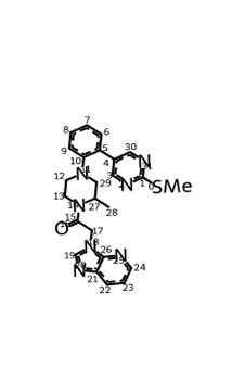 CSc1ncc(-c2ccccc2N2CCN(C(=O)Cn3cnc4cccnc43)C(C)C2)cn1